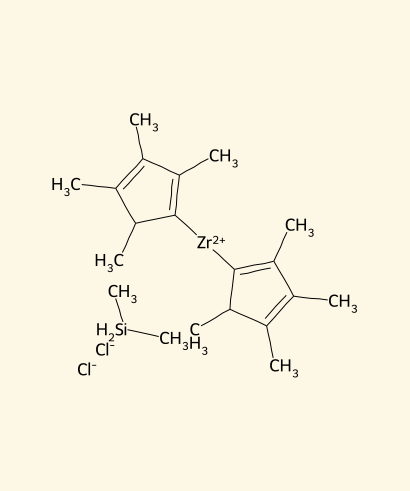 CC1=C(C)C(C)[C]([Zr+2][C]2=C(C)C(C)=C(C)C2C)=C1C.C[SiH2]C.[Cl-].[Cl-]